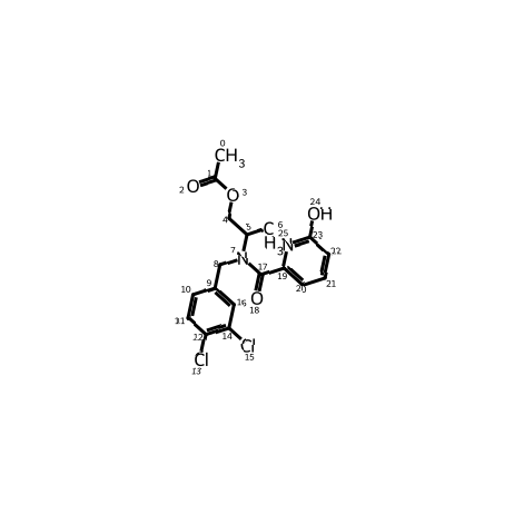 CC(=O)OCC(C)N(Cc1ccc(Cl)c(Cl)c1)C(=O)c1cccc(O)n1